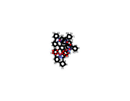 N#Cc1c(-c2ccc(-c3ccccc3)nc2-c2ccccc2)c(-c2cccc3c4ccccc4n(-c4ccccc4)c23)c(-c2cccc3c4ccccc4n(-c4ccccc4)c23)c(-c2cccc3c4ccccc4n(-c4ccccc4)c23)c1-c1cccc2c3ccccc3n(-c3ccccc3)c12